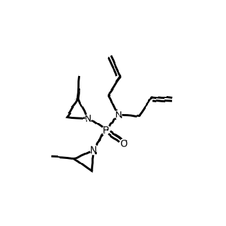 C=CCN(CC=C)P(=O)(N1CC1C)N1CC1C